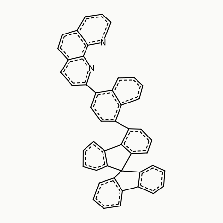 c1ccc2c(c1)-c1ccccc1C21c2ccccc2-c2c(-c3ccc(-c4ccc5ccc6cccnc6c5n4)c4ccccc34)cccc21